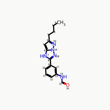 CCCCc1cc2[nH]c(-c3cccc(NC=O)c3)nn2n1